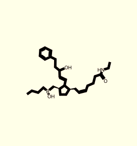 CCCCB(O)C[C@@H]1CC[C@H](C/C=C\CCCC(=O)NCC)C1/C=C/C(O)CCc1ccccc1